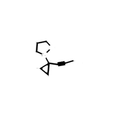 CC#CC1(N2CCCS2)CC1